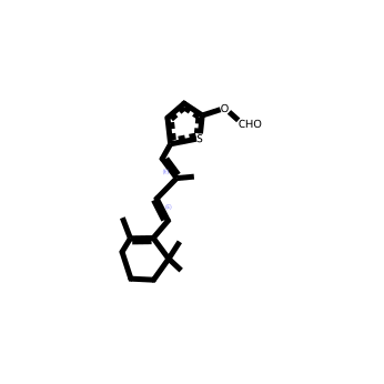 CC1=C(/C=C/C(C)=C/c2ccc(OC=O)s2)C(C)(C)CCC1